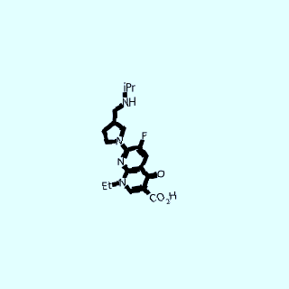 CCn1cc(C(=O)O)c(=O)c2cc(F)c(N3CCC(CNC(C)C)C3)nc21